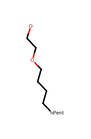 CCCCCCCCCOCC[O]